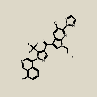 CCn1cc(C(=O)c2cnn(-c3cncc4c(F)cccc34)c2C(F)(F)F)c2cc(Cl)c(-n3nccn3)nc21